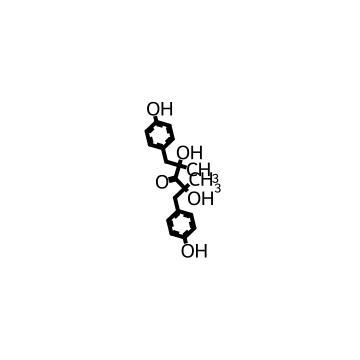 CC(O)(Cc1ccc(O)cc1)C(=O)C(C)(O)Cc1ccc(O)cc1